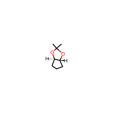 CC1(C)O[C@@H]2CCC[C@H]2O1